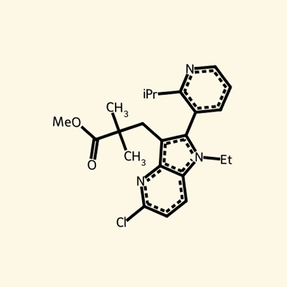 CCn1c(-c2cccnc2C(C)C)c(CC(C)(C)C(=O)OC)c2nc(Cl)ccc21